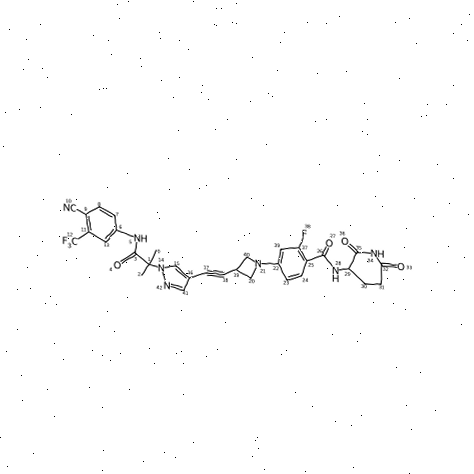 CC(C)(C(=O)Nc1ccc(C#N)c(C(F)(F)F)c1)n1cc(C#CC2CN(c3ccc(C(=O)NC4CCC(=O)NC4=O)c(F)c3)C2)cn1